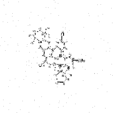 Cc1cc2c(cc1N1c3cc(Cl)ccc3B3c4cc(C(C)(C)C)cc5c4N(c4cc(Cl)cc1c43)C1(C)CCCCC51C)C(C)(C)CCC2(C)C